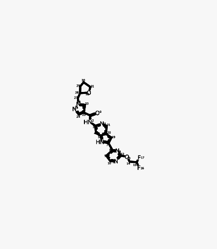 O=C(Nc1cc2[nH]c(-c3ccnc(OCC(F)F)n3)cc2cn1)c1cnn(CC2CCCO2)c1